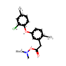 CON(C)OC(=O)Cc1cc(Oc2ccc(C(F)(F)F)cc2Cl)ccc1[N+](=O)[O-]